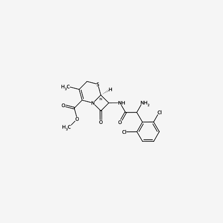 COC(=O)C1=C(C)CS[C@H]2C(NC(=O)C(N)c3c(Cl)cccc3Cl)C(=O)N12